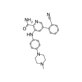 CN1CCN(c2ccc(Nc3cc(-c4ccccc4C#N)cnc3C(N)=O)cc2)CC1